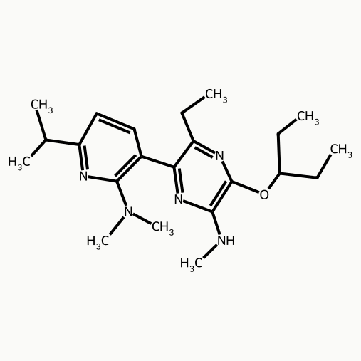 CCc1nc(OC(CC)CC)c(NC)nc1-c1ccc(C(C)C)nc1N(C)C